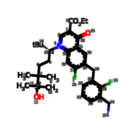 CCOC(=O)c1cn([C@H](CCC(C)(C)[Si](C)(C)O)C(C)(C)C)c2cc(F)c(Cc3cccc(CI)c3F)cc2c1=O